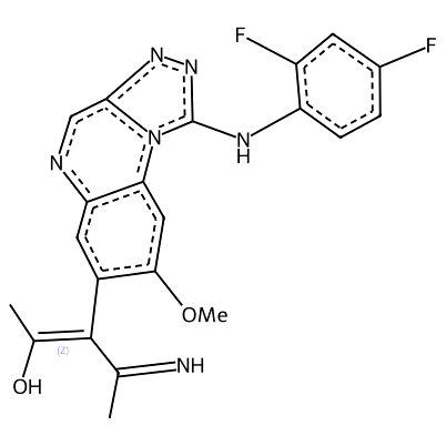 COc1cc2c(cc1/C(C(C)=N)=C(\C)O)ncc1nnc(Nc3ccc(F)cc3F)n12